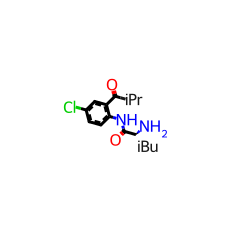 CC[C@H](C)[C@H](N)C(=O)Nc1ccc(Cl)cc1C(=O)C(C)C